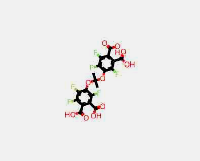 CC(C)(Oc1c(F)c(F)c(C(=O)O)c(C(=O)O)c1F)Oc1c(F)c(F)c(C(=O)O)c(C(=O)O)c1F